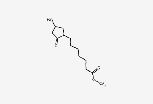 COC(=O)CCCCCCC1CC(O)CC1=O